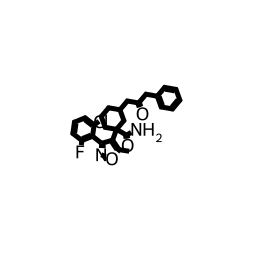 Cc1onc(-c2c(F)cccc2Cl)c1C1(C(N)=O)CCCC(CC(=O)Cc2ccccc2)C1